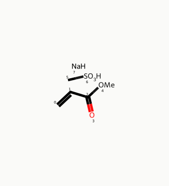 C=CC(=O)OC.CS(=O)(=O)O.[NaH]